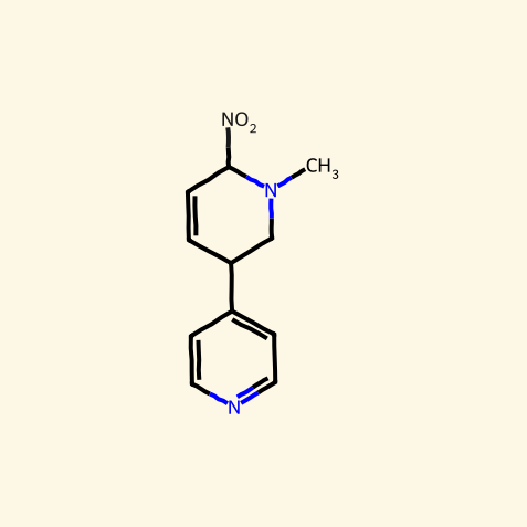 CN1CC(c2ccncc2)C=CC1[N+](=O)[O-]